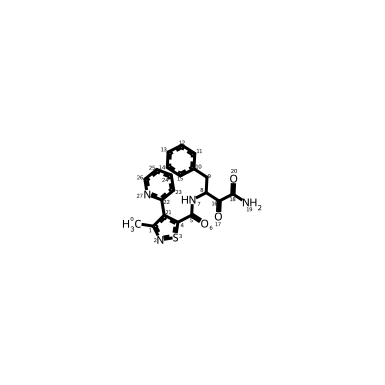 Cc1nsc(C(=O)NC(Cc2ccccc2)C(=O)C(N)=O)c1-c1ccccn1